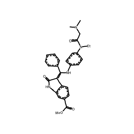 CCN(C(=O)CN(C)C)c1ccc(NC(=C2C(=O)Nc3cc(C(=O)OC)ccc32)c2ccccc2)cc1